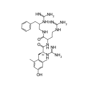 Cc1cc(O)cc(C)c1C[C@H](NC(=N)N)C(=O)NC(CCNC(=N)N)C(=O)NCC(Cc1ccccc1)NC(=N)N